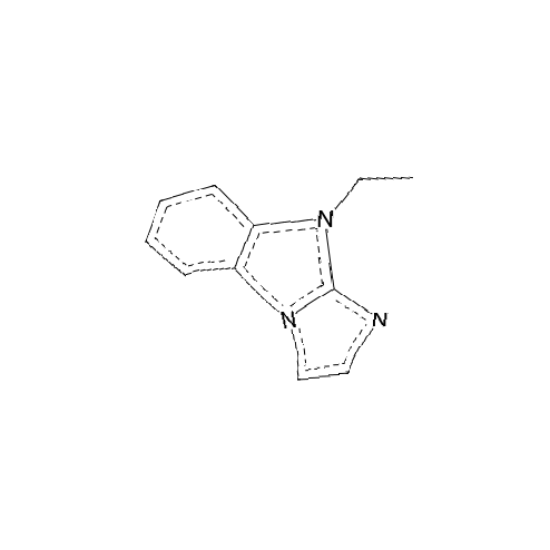 CCn1c2ccccc2n2ccnc12